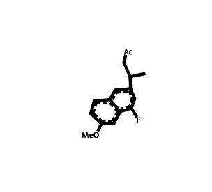 COc1ccc2cc(C(C)CC(C)=O)cc(F)c2c1